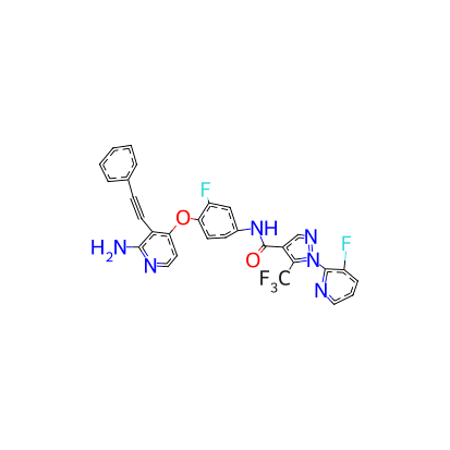 Nc1nccc(Oc2ccc(NC(=O)c3cnn(-c4ncccc4F)c3C(F)(F)F)cc2F)c1C#Cc1ccccc1